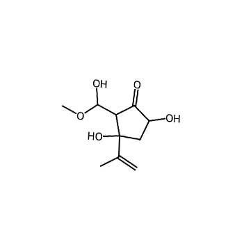 C=C(C)C1(O)CC(O)C(=O)C1C(O)OC